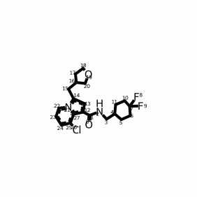 O=C(NCC1CCC(F)(F)CC1)c1cc(CC2CCOC2)n2cccc(Cl)c12